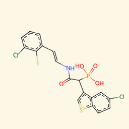 O=C(NC=Cc1cccc(Cl)c1F)C(c1csc2ccc(Cl)cc12)P(=O)(O)O